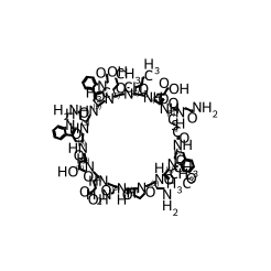 CCCC[C@H]1C(=O)N(C)[C@@H](CCCC)C(=O)N[C@@H](CCC(=O)O)C(=O)N[C@H](C(=O)NCC(N)=O)CSCC(=O)N[C@@H](Cc2ccc(OC)cc2)C(=O)N(C)[C@@H](C)C(=O)N[C@@H](CCN)C(=O)N2CCC[C@H]2C(=O)N[C@@H](CN)C(=O)N[C@@H](CCC(=O)O)C(=O)N2C[C@H](O)C[C@H]2C(=O)N[C@@H](Cc2c[nH]c3ccccc23)C(=O)N[C@@H](CCN)C(=O)N[C@@H](Cc2cn(CC(=O)O)c3ccccc23)C(=O)N1C